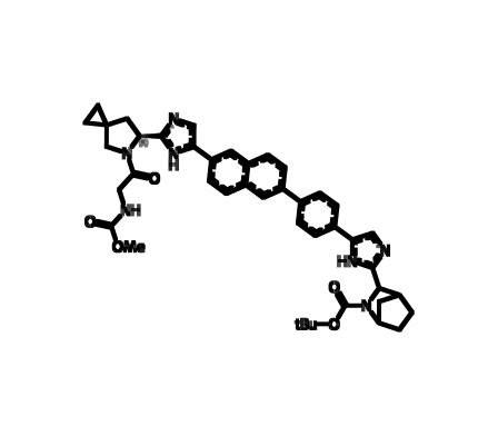 COC(=O)NCC(=O)N1CC2(CC2)C[C@H]1c1ncc(-c2ccc3cc(-c4ccc(-c5cnc(C6C7CCC(C7)N6C(=O)OC(C)(C)C)[nH]5)cc4)ccc3c2)[nH]1